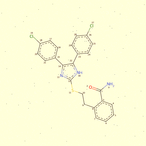 NC(=O)c1ccccc1CCSc1nc(-c2ccc(Cl)cc2)c(-c2ccc(Cl)cc2)[nH]1